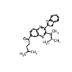 CC(C)CSC(=O)c1ccc2nc(-c3cc4ccccc4o3)c(N(C)C(C)C)nc2c1